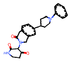 O=C1CCNC(=O)C1N1Cc2cc(C3CCN(c4ccccc4)CC3)ccc2C1=O